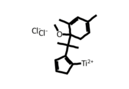 COC1(C(C)(C)C2=[C]([Ti+2])CC=C2)CC=C(C)C=C1C.[Cl-].[Cl-]